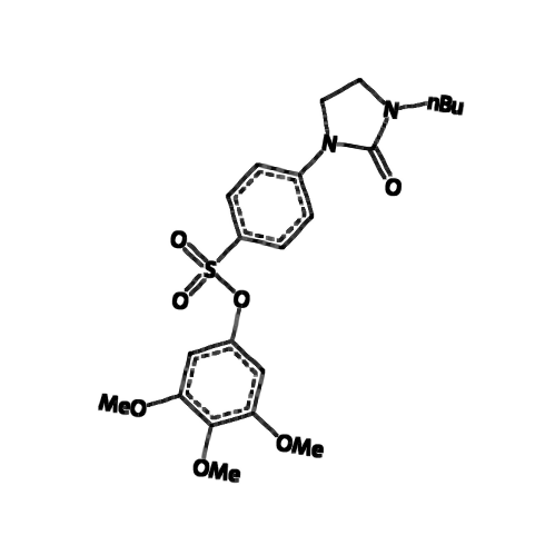 CCCCN1CCN(c2ccc(S(=O)(=O)Oc3cc(OC)c(OC)c(OC)c3)cc2)C1=O